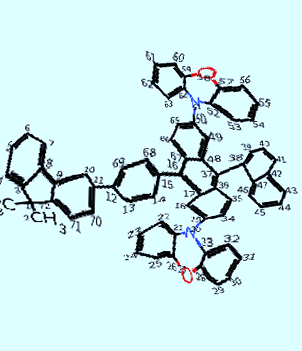 CC1(C)c2ccccc2-c2cc(-c3ccc(-c4c5cc(N6c7ccccc7Oc7ccccc76)ccc5c(-c5cccc6ccccc56)c5cc(N6c7ccccc7Oc7ccccc76)ccc45)cc3)ccc21